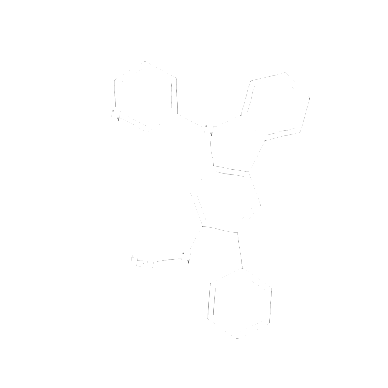 CC(C)(C)n1c2ccccc2c2cc3c4ccccc4n(-c4cccnc4)c3cc21